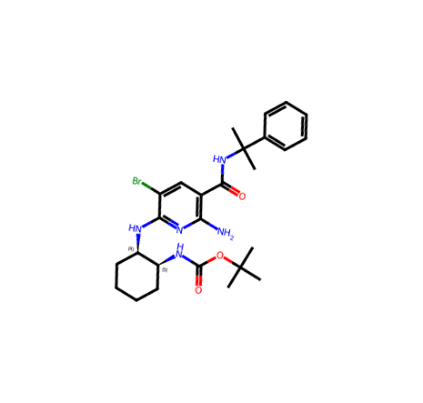 CC(C)(C)OC(=O)N[C@H]1CCCC[C@H]1Nc1nc(N)c(C(=O)NC(C)(C)c2ccccc2)cc1Br